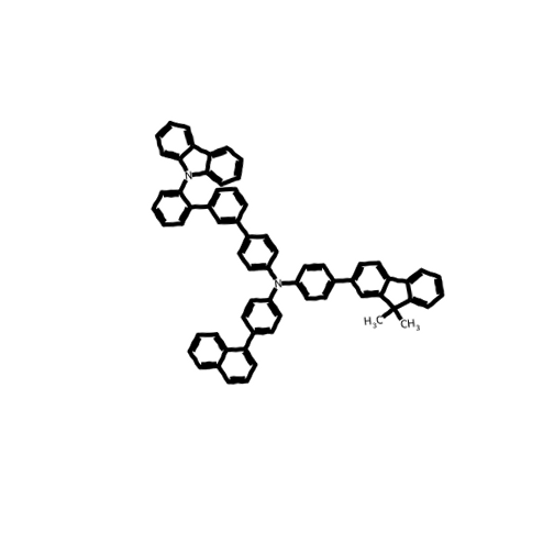 CC1(C)c2ccccc2-c2ccc(-c3ccc(N(c4ccc(-c5cccc(-c6ccccc6-n6c7ccccc7c7ccccc76)c5)cc4)c4ccc(-c5cccc6ccccc56)cc4)cc3)cc21